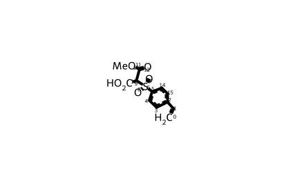 C=Cc1ccc(S(=O)(=O)C(C(=O)O)C(=O)OC)cc1